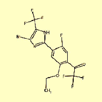 CCOc1cc(-c2nc(Br)c(C(F)(F)F)[nH]2)c(F)cc1C(=O)C(F)(F)F